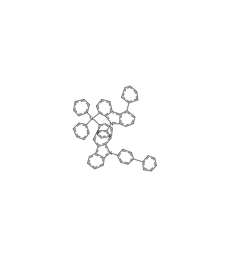 c1ccc(-c2ccc(-n3c4ccccc4c4ccc(-n5c6cccc(-c7ccccc7)c6c6cccc([Si](c7ccccc7)(c7ccccc7)c7ccccc7)c65)cc43)cc2)cc1